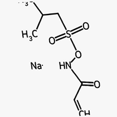 C=CC(=O)NOS(=O)(=O)CC(C)C.[Na]